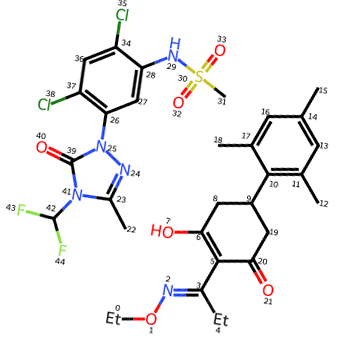 CCO/N=C(\CC)C1=C(O)CC(c2c(C)cc(C)cc2C)CC1=O.Cc1nn(-c2cc(NS(C)(=O)=O)c(Cl)cc2Cl)c(=O)n1C(F)F